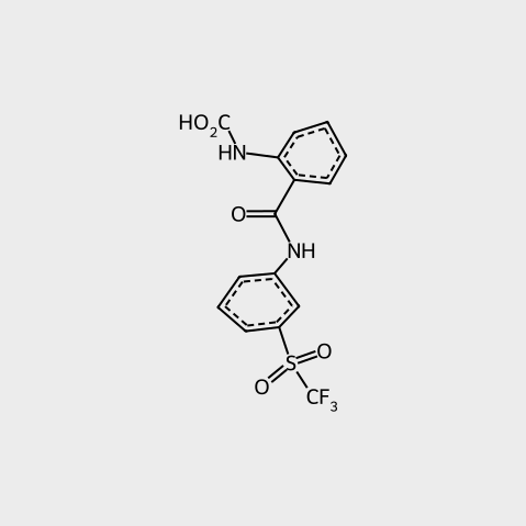 O=C(O)Nc1ccccc1C(=O)Nc1cccc(S(=O)(=O)C(F)(F)F)c1